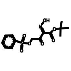 CC(C)(C)OC(=O)C(=NO)C(=O)COS(=O)(=O)c1ccccc1